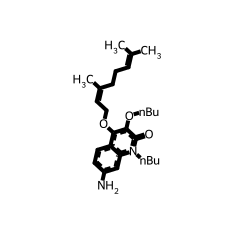 CCCCOc1c(OCC=C(C)CCC=C(C)C)c2ccc(N)cc2n(CCCC)c1=O